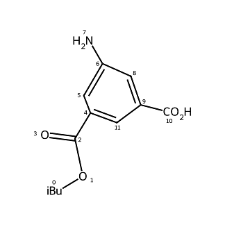 CCC(C)OC(=O)c1cc(N)cc(C(=O)O)c1